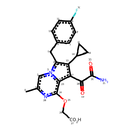 Cc1cn2c(Cc3ccc(F)cc3)c(C3CC3)c(C(=O)C(N)=O)c2c(OCC(=O)O)n1